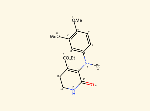 CCOC(=O)C1=C(N(CC)c2ccc(OC)c(OC)c2)C(=O)NCC1